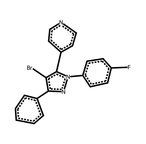 Fc1ccc(-n2nc(-c3ccccc3)c(Br)c2-c2ccncc2)cc1